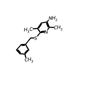 Cc1cccc(CSc2nc(C)c(N)cc2C)c1